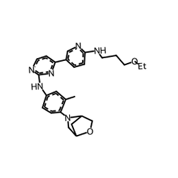 CCOCCCNc1ccc(-c2ccnc(Nc3ccc(N4CC5CC4CO5)c(C)c3)n2)cn1